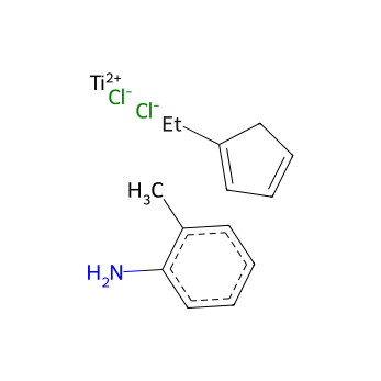 CCC1=CC=CC1.Cc1ccccc1N.[Cl-].[Cl-].[Ti+2]